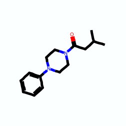 CC(C)CC(=O)N1CCN(c2ccccc2)CC1